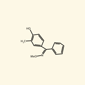 CON=C(c1ccccc1)c1ccc(O)c(C)c1